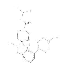 CCN(Cc1cccc(N2CCN(C)CC2)c1Cl)C1(C)CCN(C(=O)OC(C(F)(F)F)C(F)(F)F)CC1